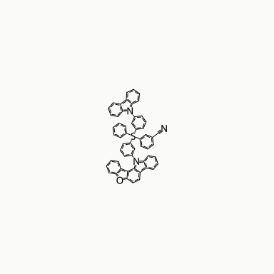 N#Cc1cccc(S(c2ccccc2)(c2cccc(-n3c4ccccc4c4ccccc43)c2)c2cccc(-n3c4ccccc4c4ccc5oc6ccccc6c5c43)c2)c1